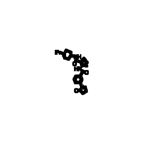 CC(C)N1CCC(NC(=O)c2ccsc2NC(=O)c2cccc(N3CCCC3=O)c2)CC1